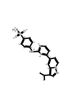 CC(C)c1cnn2ccc(-c3ccnc(Nc4ccc(S(N)(=O)=O)cc4)n3)cc12